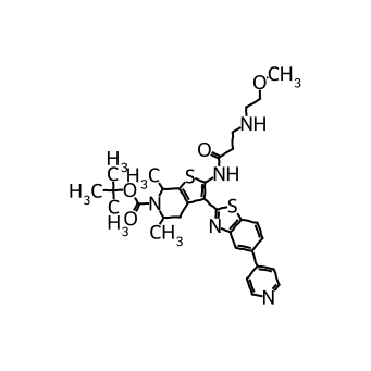 COCCNCCC(=O)Nc1sc2c(c1-c1nc3cc(-c4ccncc4)ccc3s1)CC(C)N(C(=O)OC(C)(C)C)C2C